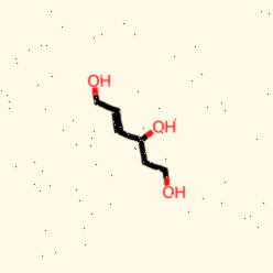 OC/C=C/C(O)CCO